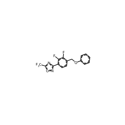 Fc1c(COc2ccccc2)ccc(-c2noc(C(F)(F)F)n2)c1F